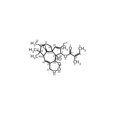 C/C=C(/C)C(=O)OC1C(C)=CC23CCC(C)C(C)(C)C(C=C4COOOC4C12O)C3=O